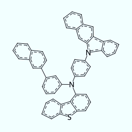 c1cc(-c2ccc3ccccc3c2)cc(N(c2ccc(-n3c4ccccc4c4cc5ccccc5cc43)cc2)c2cccc3sc4ccccc4c23)c1